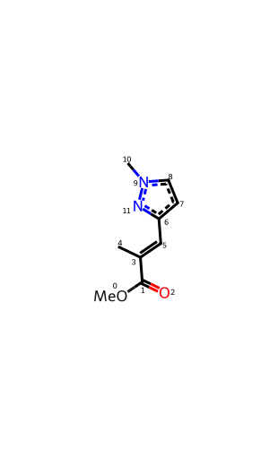 COC(=O)/C(C)=C/c1ccn(C)n1